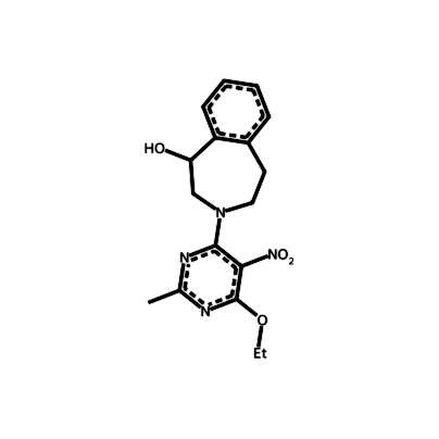 CCOc1nc(C)nc(N2CCc3ccccc3C(O)C2)c1[N+](=O)[O-]